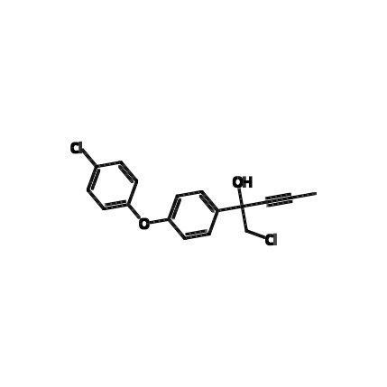 CC#CC(O)(CCl)c1ccc(Oc2ccc(Cl)cc2)cc1